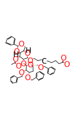 COC(=O)CCCCCCCCO[C@H]1O[C@@H]2COC(c3ccccc3)O[C@H]2[C@H](OC(C)=O)[C@H]1O[C@H]1O[C@H](COCc2ccccc2)C[C@H](OCc2ccccc2)[C@H]1OCc1ccccc1